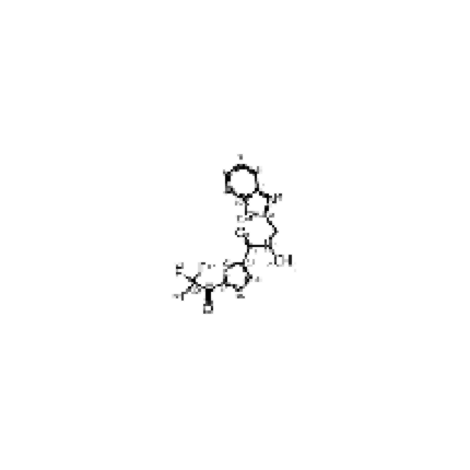 CN(Cc1nc2ccccc2s1)C(=O)c1ccc(C(=O)C(F)(F)F)s1